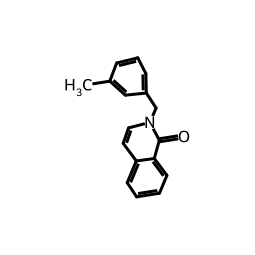 Cc1cccc(Cn2ccc3ccccc3c2=O)c1